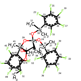 C=C(C(=O)OCCC)[Si](O[Si](C)(C)c1c(F)c(F)c(F)c(F)c1F)(O[Si](C)(C)c1c(F)c(F)c(F)c(F)c1F)O[Si](C)(C)c1c(F)c(F)c(F)c(F)c1F